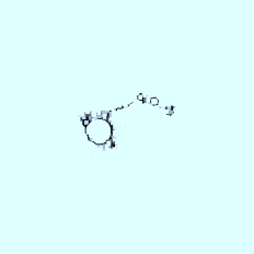 COc1cc2cc(c1Cl)N(C)C(=O)C[C@H](OC(=O)[C@H](C)OCCOCCSC1CC(=O)N(C[C@H]3CC[C@H](C(=O)ON4C(=O)CCC4=O)CC3)C1=O)[C@]1(C)O[C@H]1[C@H](C)C1C[C@@](O)(NC(=O)O1)[C@H](OC)/C=C/C=C(\C)C2